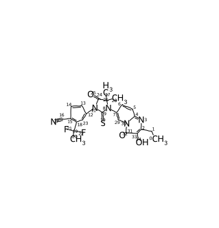 CCc1nc2ccc(N3C(=S)N(c4ccc(C#N)c(C(C)(F)F)c4)C(=O)C3(C)C)cn2c(=O)c1O